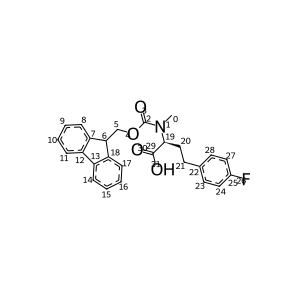 CN(C(=O)OCC1c2ccccc2-c2ccccc21)[C@@H](CCc1ccc(F)cc1)C(=O)O